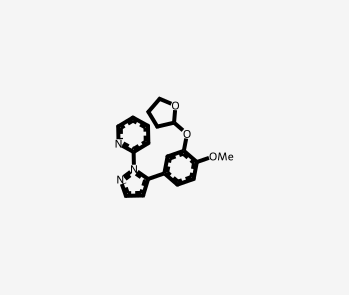 COc1ccc(-c2ccnn2-c2ccccn2)cc1OC1CCCO1